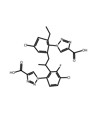 CCc1cc(Cl)cc(CC(C)c2c(-n3cc(C(=O)O)nn3)ccc(Cl)c2F)c1-n1cc(C(=O)O)nn1